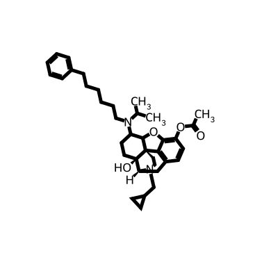 CC(=O)Oc1ccc2c3c1OC1C(N(CCCCCCc4ccccc4)C(C)C)CC[C@@]4(O)[C@@H](C2)N(CC2CC2)CC[C@]314